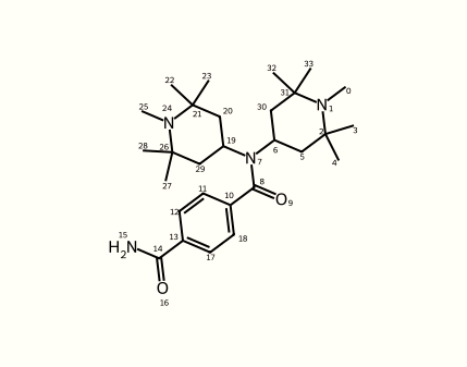 CN1C(C)(C)CC(N(C(=O)c2ccc(C(N)=O)cc2)C2CC(C)(C)N(C)C(C)(C)C2)CC1(C)C